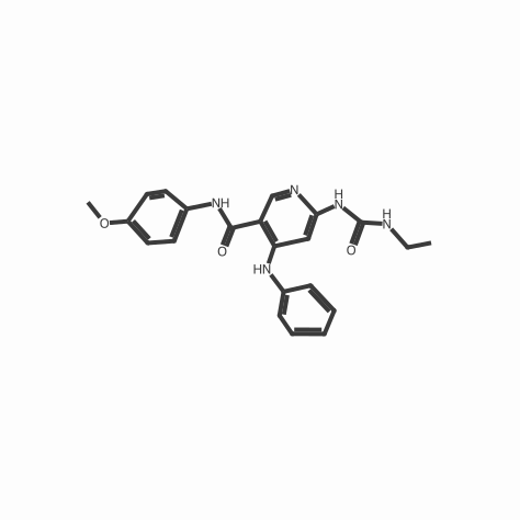 CCNC(=O)Nc1cc(Nc2ccccc2)c(C(=O)Nc2ccc(OC)cc2)cn1